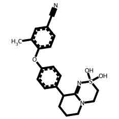 Cc1cc(C#N)ccc1Oc1ccc(C2CCCN3CCS(O)(O)N=C23)cc1